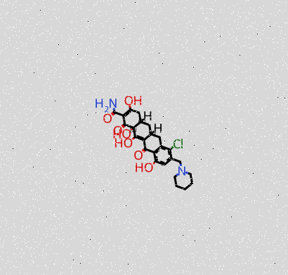 NC(=O)C1=C(O)C[C@@H]2C[C@@H]3Cc4c(Cl)c(CN5CCCCC5)cc(O)c4C(=O)C3=C(O)[C@]2(O)C1=O